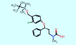 CN(CC[C@H](Oc1ccc(CO[Si](C)(C)C(C)(C)C)c(F)c1)c1ccccc1)C(=O)O